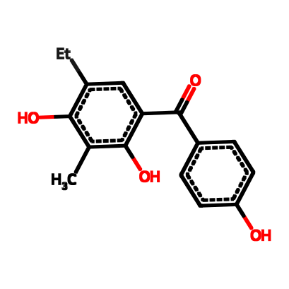 CCc1cc(C(=O)c2ccc(O)cc2)c(O)c(C)c1O